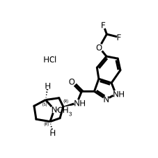 CN1[C@@H]2CC[C@H]1C[C@@H](NC(=O)c1n[nH]c3ccc(OC(F)F)cc13)C2.Cl